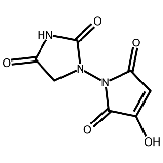 O=C1CN(N2C(=O)C=C(O)C2=O)C(=O)N1